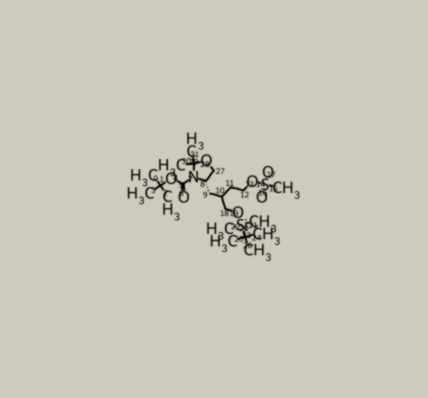 CC(C)(C)OC(=O)N1[C@@H](CC(CCOS(C)(=O)=O)CO[Si](C)(C)C(C)(C)C)COC1(C)C